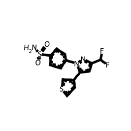 NS(=O)(=O)c1ccc(-n2nc(C(F)F)cc2-c2ccsc2)cc1